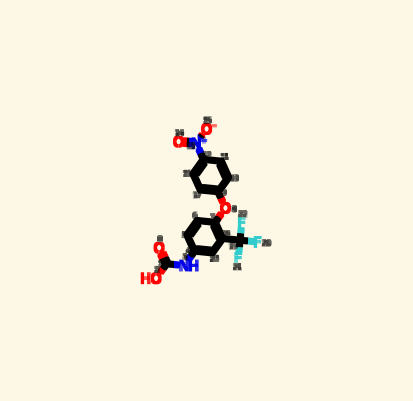 O=C(O)Nc1ccc(Oc2ccc([N+](=O)[O-])cc2)c(C(F)(F)F)c1